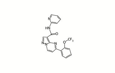 O=C(Nc1ccccn1)c1cnn2ccc(-c3ccccc3OC(F)(F)F)nc12